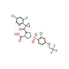 O=C(O)[C@@H]1C[C@@H](S(=O)(=O)c2ccc(OCC(F)(F)F)cc2Cl)CN1C(=O)C1(c2ncc(Cl)cc2F)CC1